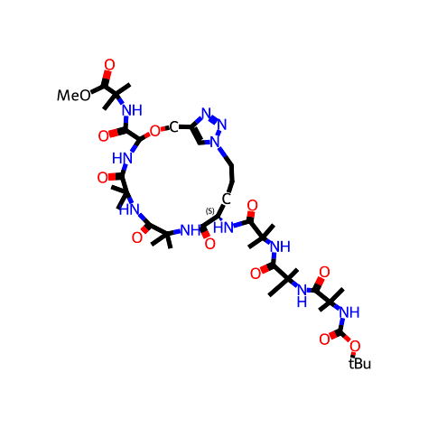 COC(=O)C(C)(C)NC(=O)C1NC(=O)C(C)(C)NC(=O)C(C)(C)NC(=O)[C@@H](NC(=O)C(C)(C)NC(=O)C(C)(C)NC(=O)C(C)(C)NC(=O)OC(C)(C)C)CCCn2cc(nn2)CO1